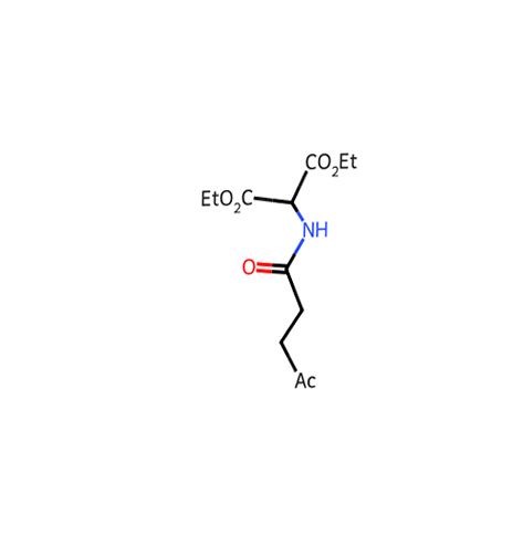 CCOC(=O)C(NC(=O)CCC(C)=O)C(=O)OCC